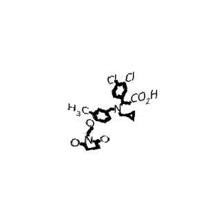 Cc1cc(CN(CC2CC2)C(CC(=O)O)c2ccc(Cl)c(Cl)c2)ccc1OCCN1C(=O)CCC1=O